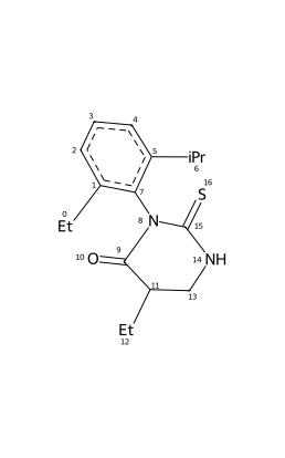 CCc1cccc(C(C)C)c1N1C(=O)C(CC)CNC1=S